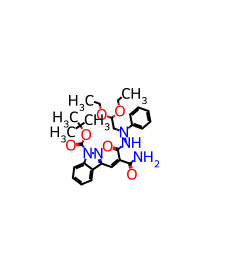 CCOC(CN(NC(=O)C(=Cc1nn(C(=O)OC(C)(C)C)c2ccccc12)C(N)=O)c1ccccc1)OCC